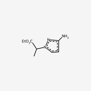 CCOC(=O)C(C)n1ccc(N)n1